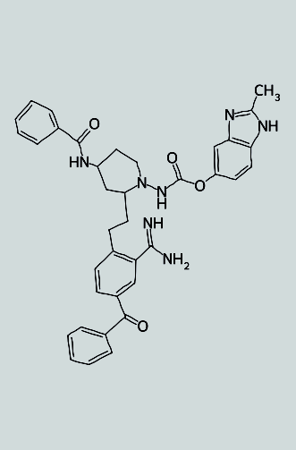 Cc1nc2cc(OC(=O)NN3CCC(NC(=O)c4ccccc4)CC3CCc3ccc(C(=O)c4ccccc4)cc3C(=N)N)ccc2[nH]1